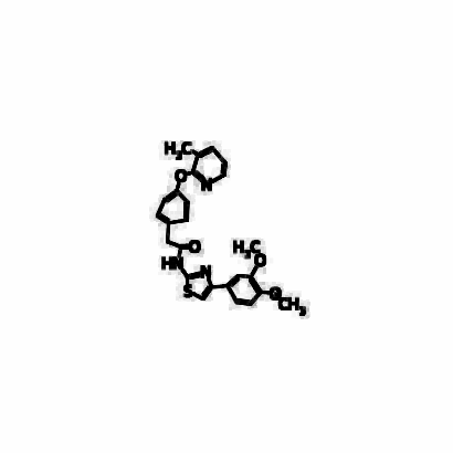 COc1ccc(-c2csc(NC(=O)Cc3ccc(Oc4ncccc4C)cc3)n2)cc1OC